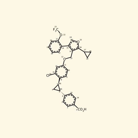 O=C(O)c1ccc([C@@H]2C[C@H]2c2ccc(OCc3c(-c4ccccc4OC(F)(F)F)noc3C3CC3)cc2Cl)cc1